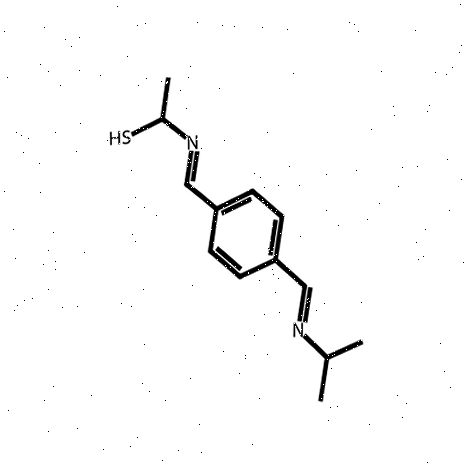 CC(C)/N=C/c1ccc(/C=N/C(C)S)cc1